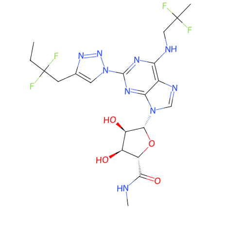 CCC(F)(F)Cc1cn(-c2nc(NCC(C)(F)F)c3ncn([C@@H]4O[C@H](C(=O)NC)[C@@H](O)[C@H]4O)c3n2)nn1